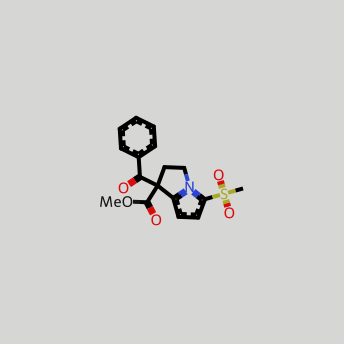 COC(=O)C1(C(=O)c2ccccc2)CCn2c1ccc2S(C)(=O)=O